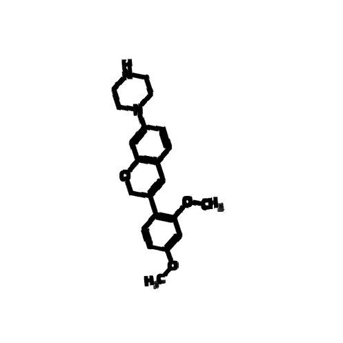 COc1ccc(C2=Cc3ccc(N4CCNCC4)cc3OC2)c(OC)c1